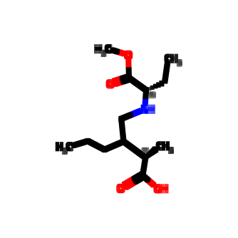 CCCC(CN[C@@H](CC)C(=O)OC)[C@@H](C)C(=O)O